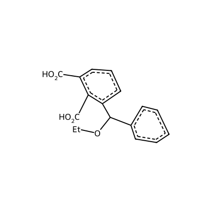 CCOC(c1ccccc1)c1cccc(C(=O)O)c1C(=O)O